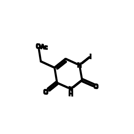 CC(=O)OCc1cn(I)c(=O)[nH]c1=O